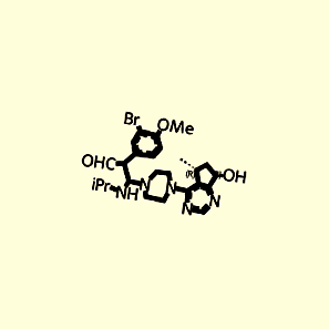 COc1ccc(C(C=O)C(NC(C)C)N2CCN(c3ncnc4c3[C@H](C)C[C@H]4O)CC2)cc1Br